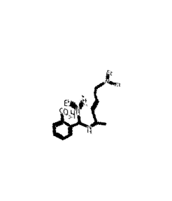 CCN(CC)CCCC(C)NC(c1ccccc1C(=O)O)N(CC)CC